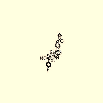 CCc1nc2cnc(N3CCN(CC(=O)N4CCC4)CC3)cn2c1N(C)c1nc(-c2ccc(F)cc2)c(C#N)s1